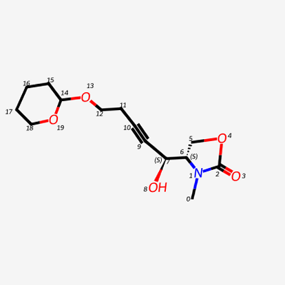 CN1C(=O)OC[C@H]1[C@@H](O)C#CCCOC1CCCCO1